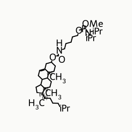 COP(OCCCCCNC(=O)OC1CC[C@@]2(C)C(=CCC3C2CC[C@@]2(C)C3CC[C@@H]2[C@H](C)CCCC(C)C)C1)N(C(C)C)C(C)C